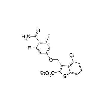 CCOC(=O)c1sc2cccc(Cl)c2c1COc1cc(F)c(C(N)=O)c(F)c1